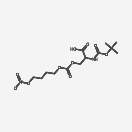 CC(C)(C)OC(=O)NC(COC(=O)OCCCCO[N+](=O)[O-])C(=O)O